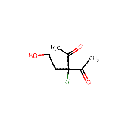 CC(=O)C(Cl)(CCO)C(C)=O